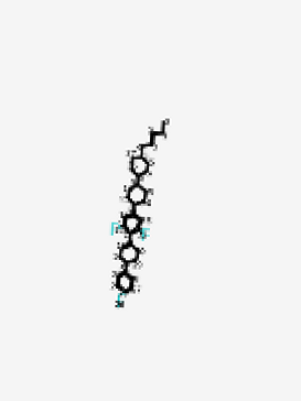 CCCCCC1CCC(C2CCC(c3cc(F)c(C4=CCC(c5ccc(F)cc5)CC4)c(F)c3)CC2)CC1